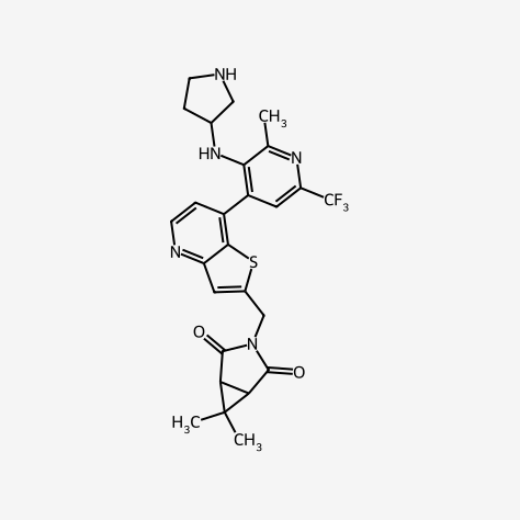 Cc1nc(C(F)(F)F)cc(-c2ccnc3cc(CN4C(=O)C5C(C4=O)C5(C)C)sc23)c1NC1CCNC1